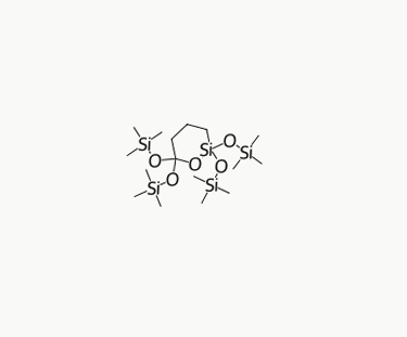 C[Si](C)(C)OC1(O[Si](C)(C)C)CCC[Si](O[Si](C)(C)C)(O[Si](C)(C)C)O1